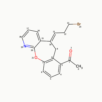 CC(=O)c1cccc2c1CC(=CCCBr)c1cccnc1O2